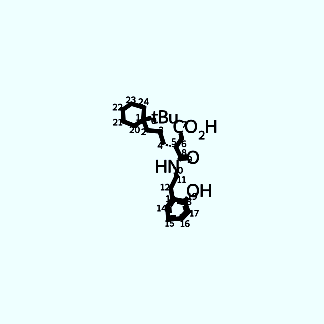 CC(C)(C)C1(CCC[C@H](CC(=O)O)C(=O)NCCc2ccccc2O)CCCCC1